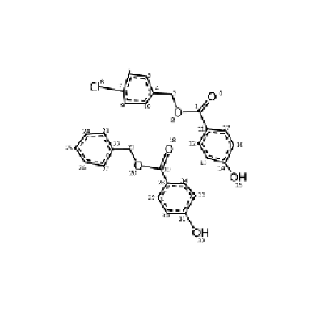 O=C(OCc1ccc(Cl)cc1)c1ccc(O)cc1.O=C(OCc1ccccc1)c1ccc(O)cc1